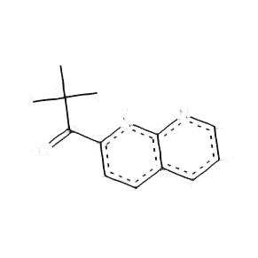 CC(C)(C)C(=O)c1ccc2cccnc2n1